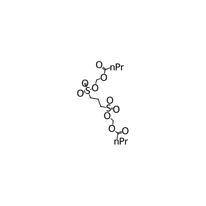 CCCC(=O)OCOS(=O)(=O)CCCS(=O)(=O)OCOC(=O)CCC